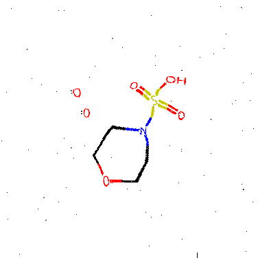 O=S(=O)(O)N1CCOCC1.[O].[O]